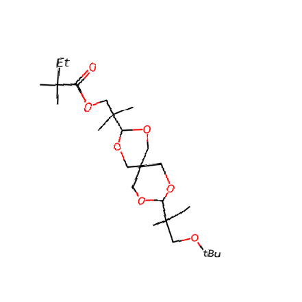 CCC(C)(C)C(=O)OCC(C)(C)C1OCC2(CO1)COC(C(C)(C)COC(C)(C)C)OC2